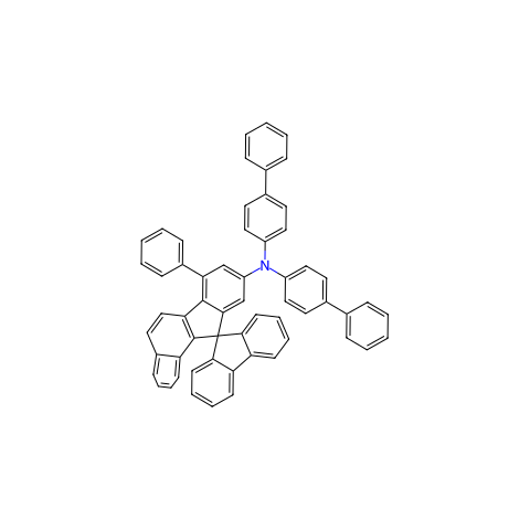 c1ccc(-c2ccc(N(c3ccc(-c4ccccc4)cc3)c3cc(-c4ccccc4)c4c(c3)C3(c5ccccc5-c5ccccc53)c3c-4ccc4ccccc34)cc2)cc1